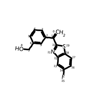 C=C(c1cccc(CO)c1)c1nc2cc(F)ccc2s1